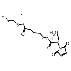 CCSCSCC(=O)CCCCNC(=O)C(CN)N1C(=O)C=CC1=O